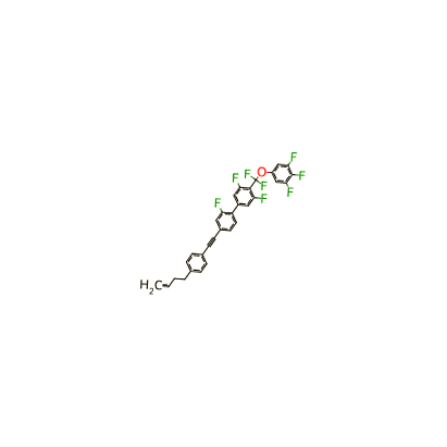 C=CCCc1ccc(C#Cc2ccc(-c3cc(F)c(C(F)(F)Oc4cc(F)c(F)c(F)c4)c(F)c3)c(F)c2)cc1